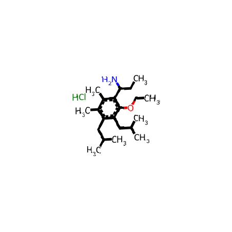 CCOc1c(CC(C)C)c(CC(C)C)c(C)c(C)c1C(N)CC.Cl